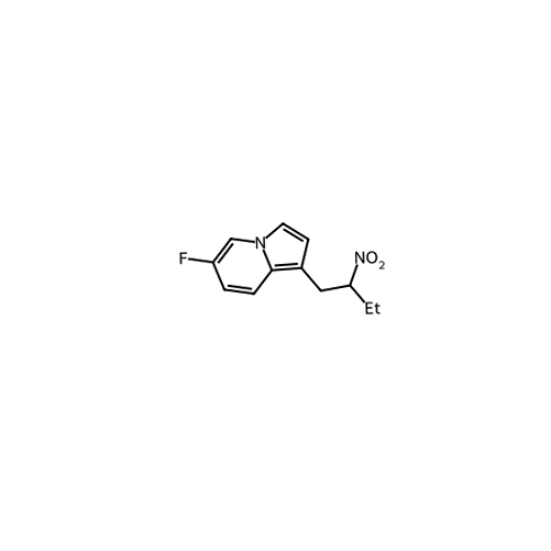 CCC(Cc1ccn2cc(F)ccc12)[N+](=O)[O-]